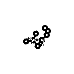 c1ccc(C2N=C(c3cccc4oc5nc(-c6ccc7ccc8ccccc8c7c6)ccc5c34)NC(c3ccccc3)N2)cc1